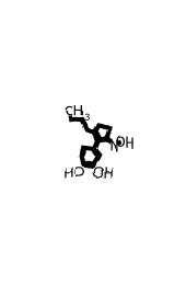 CCCCC1=C(c2ccc(O)c(O)c2)C(=NO)CC1